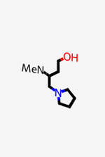 CNC(CCO)CN1CCCC1